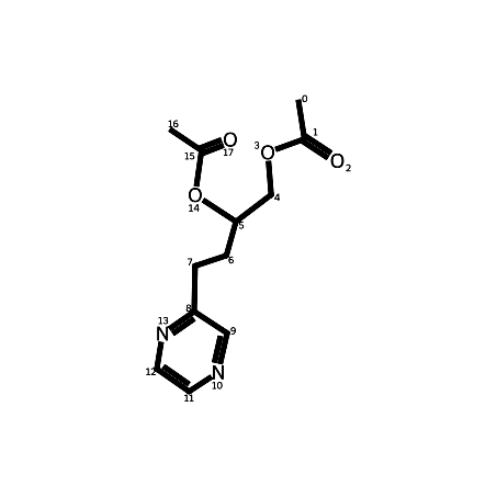 CC(=O)OCC(CCc1cnccn1)OC(C)=O